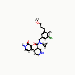 CCOCCCc1cc(CN(C(=O)[C@H]2CNCCC2c2ccn(C)c(=O)c2)C2CC2)cc(Br)c1C